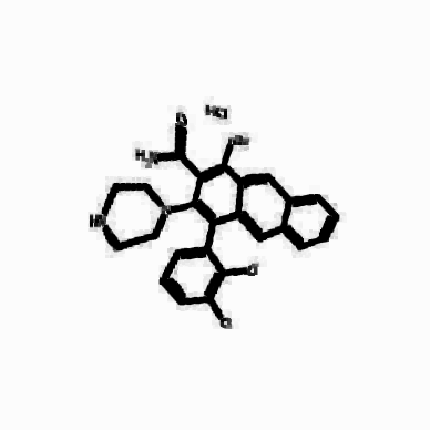 CCCCc1c(C(N)=O)c(N2CCNCC2)c(-c2cccc(Cl)c2Cl)c2cc3ccccc3cc12.Cl